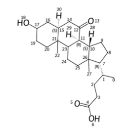 CC(CCC(=O)O)[C@H]1CC[C@H]2[C@@H]3C(=O)C[C@@H]4CC(O)CCC4(C)C3CCC12C